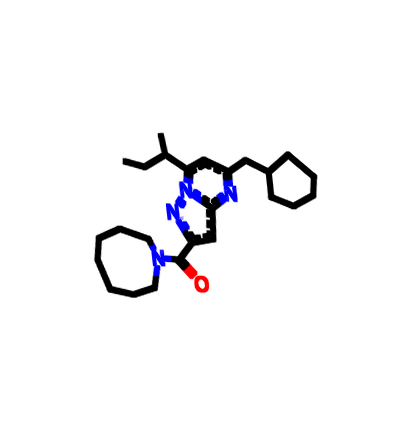 CCC(C)c1cc(CC2CCCCC2)nc2cc(C(=O)N3CCCCCCC3)nn12